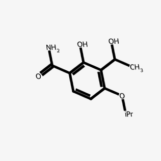 CC(C)Oc1ccc(C(N)=O)c(O)c1C(C)O